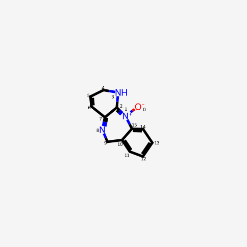 [O-][N+]1=C2NCC=CC2=NCc2ccccc21